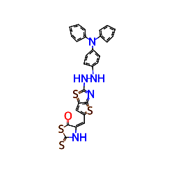 O=C1SC(=S)N/C1=C/c1cc2sc(NNc3ccc(N(c4ccccc4)c4ccccc4)cc3)nc2s1